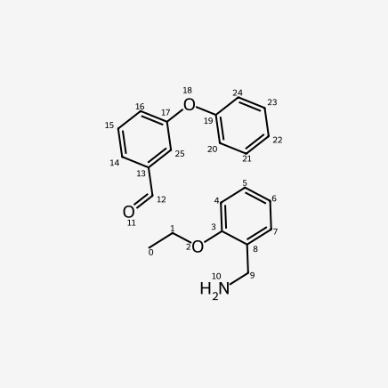 CCOc1ccccc1CN.O=Cc1cccc(Oc2ccccc2)c1